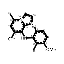 COc1ccc(C)c(Nc2c(Cl)cc(C)n3ccnc23)c1C